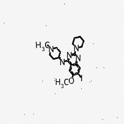 COc1cc2c(N=C3CCN(C)CC3)nc(N3CCCCC3)nc2cc1I